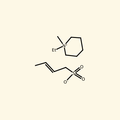 CC=CCS(=O)(=O)[O-].CC[N+]1(C)CCCCC1